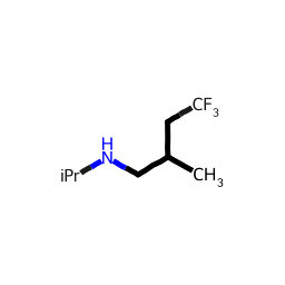 CC(CNC(C)C)CC(F)(F)F